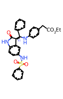 CCOC(=O)Cc1ccc(N/C(=C2/C(=O)Nc3ccc(NS(=O)(=O)c4ccccc4)cc32)c2ccccc2)cc1